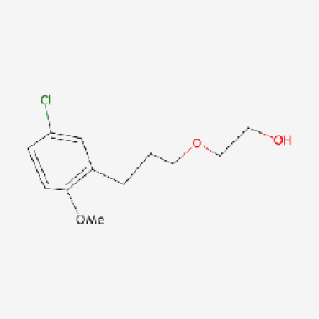 COc1ccc(Cl)cc1CCCOCCO